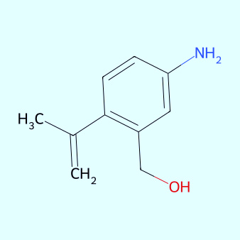 C=C(C)c1ccc(N)cc1CO